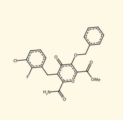 COC(=O)c1oc(C(N)=O)c(Cc2cccc(Cl)c2F)c(=O)c1OCc1ccccc1